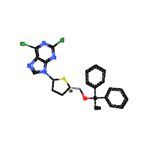 CC(C)(C)[Si](OC[C@@H]1CCC(n2cnc3c(Cl)nc(Cl)nc32)S1)(c1ccccc1)c1ccccc1